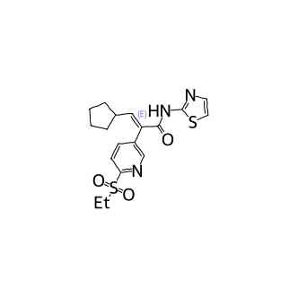 CCS(=O)(=O)c1ccc(/C(=C\C2CCCC2)C(=O)Nc2nccs2)cn1